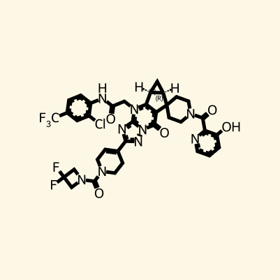 O=C(Cn1c2c(c(=O)n3nc(C4=CCN(C(=O)N5CC(F)(F)C5)CC4)nc13)C1(CCN(C(=O)c3ncccc3O)CC1)[C@@H]1C[C@H]21)Nc1ccc(C(F)(F)F)cc1Cl